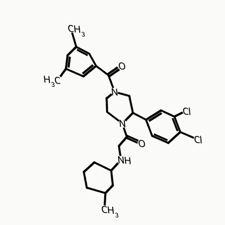 Cc1cc(C)cc(C(=O)N2CCN(C(=O)CNC3CCCC(C)C3)C(c3ccc(Cl)c(Cl)c3)C2)c1